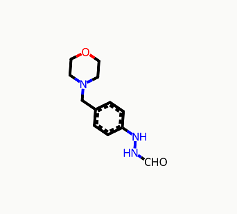 O=CNNc1ccc(CN2CCOCC2)cc1